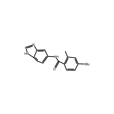 Cc1cc(C(C)(C)C)ccc1C(=O)Nc1ccc2[nH]cnc2c1